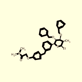 CC[C@H]1S[C@@H](c2cccc(Cc3ccc(OCC(=O)N(C)C)cc3)c2)[C@H](OCc2ccccc2)[C@@H](OCc2ccccc2)[C@@H]1C